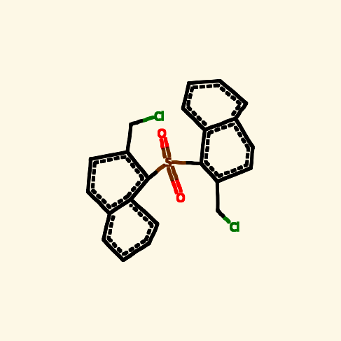 O=S(=O)(c1c(CCl)ccc2ccccc12)c1c(CCl)ccc2ccccc12